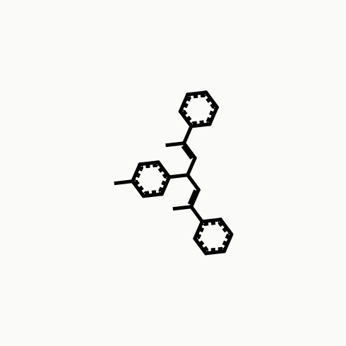 CC(=CC(C=C(C)c1ccccc1)c1ccc(C)cc1)c1ccccc1